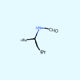 CCCCC(NC=O)C(C)C